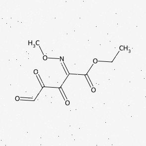 CCOC(=O)C(=NOC)C(=O)C(=O)C=O